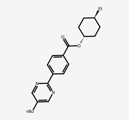 CCCCc1cnc(-c2ccc(C(=O)O[C@H]3CC[C@H](CC)CC3)cc2)nc1